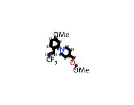 COCOCC1CCN(c2cc(OC)ccc2/C=C/C(F)(F)F)CC1